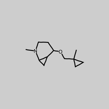 CN1CCC(OCC2(C)CC2)C2CC21